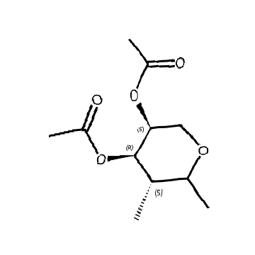 CC(=O)O[C@H]1[C@@H](OC(C)=O)COC(C)[C@@H]1C